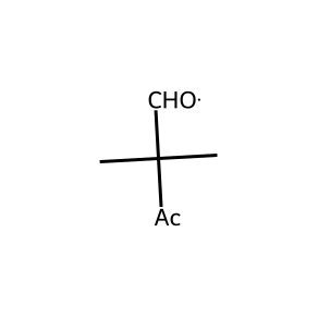 CC(=O)C(C)(C)[C]=O